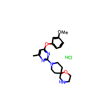 COc1cccc(Oc2cc(C)nc(N3CCC4(CC3)CNCCO4)n2)c1.Cl